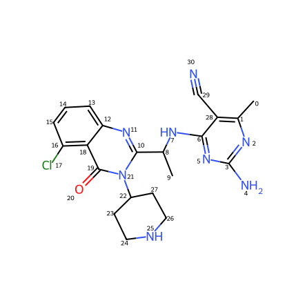 Cc1nc(N)nc(NC(C)c2nc3cccc(Cl)c3c(=O)n2C2CCNCC2)c1C#N